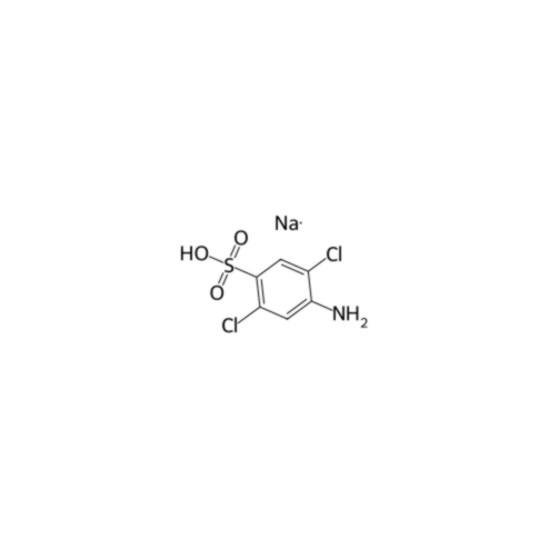 Nc1cc(Cl)c(S(=O)(=O)O)cc1Cl.[Na]